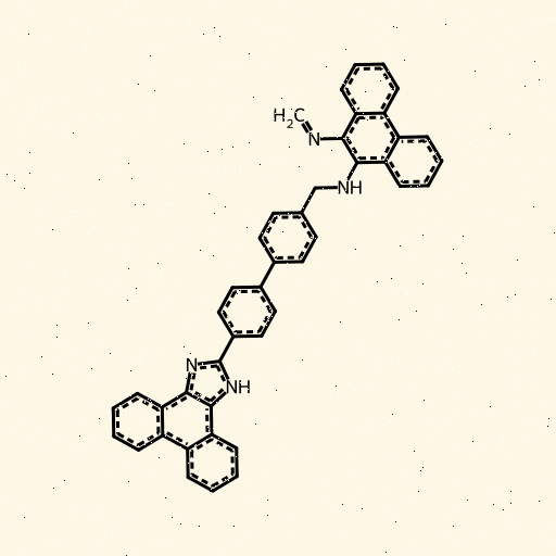 C=Nc1c(NCc2ccc(-c3ccc(-c4nc5c6ccccc6c6ccccc6c5[nH]4)cc3)cc2)c2ccccc2c2ccccc12